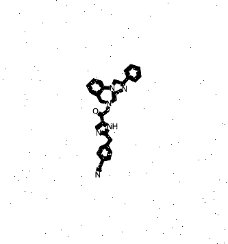 N#Cc1ccc(Cc2ncc(C(=O)CN3C=C4N=C(c5ccccc5)CN4c4ccccc4C3)[nH]2)cc1